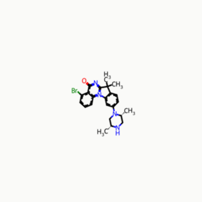 C[C@@H]1CN(c2ccc3c(c2)-n2c(nc(=O)c4c(Br)cccc42)C3(C)C)[C@H](C)CN1